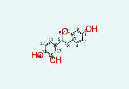 Oc1ccc2c(c1)OCC(c1ccc(O)c(O)c1)C2